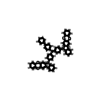 c1ccc(-c2ccc(N(c3ccc(-n4c5ccccc5c5cc6c(cc54)Oc4ccccc4O6)cc3)c3ccc(-n4c5ccccc5c5cc6c(cc54)Oc4ccccc4O6)cc3)cc2)cc1